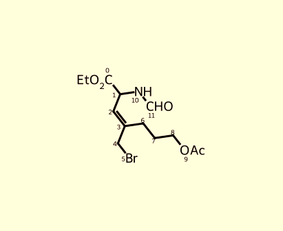 CCOC(=O)C(C=C(CBr)CCCOC(C)=O)NC=O